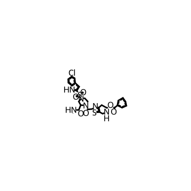 CNC(=O)C1CN(S(=O)(=O)c2cc3cc(Cl)ccc3[nH]2)CCN1C(=O)c1nc2c(s1)CNC(OC(=O)c1ccccc1)C2